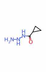 NNNC(=O)C1CC1